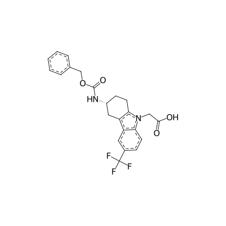 O=C(O)Cn1c2c(c3cc(C(F)(F)F)ccc31)C[C@H](NC(=O)OCc1ccccc1)CC2